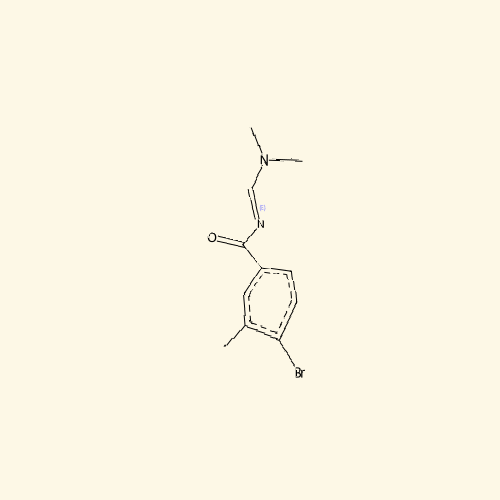 Cc1cc(C(=O)/N=C/N(C)C)ccc1Br